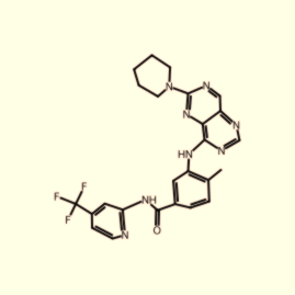 Cc1ccc(C(=O)Nc2cc(C(F)(F)F)ccn2)cc1Nc1ncnc2cnc(N3CCCCC3)nc12